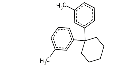 Cc1cccc(C2(c3cccc(C)c3)CCCCC2)c1